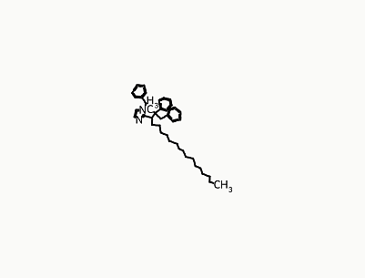 CCCCCCCCCCCCCCCCC(c1nccn1Cc1ccccc1)C(C)(Cc1ccccc1)c1ccccc1